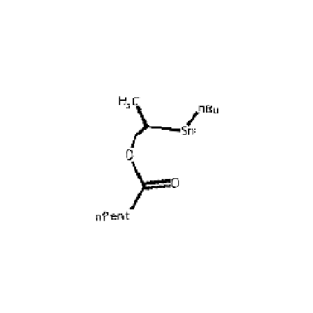 CCCCCC(=O)O[CH](C)[Sn][CH2]CCC